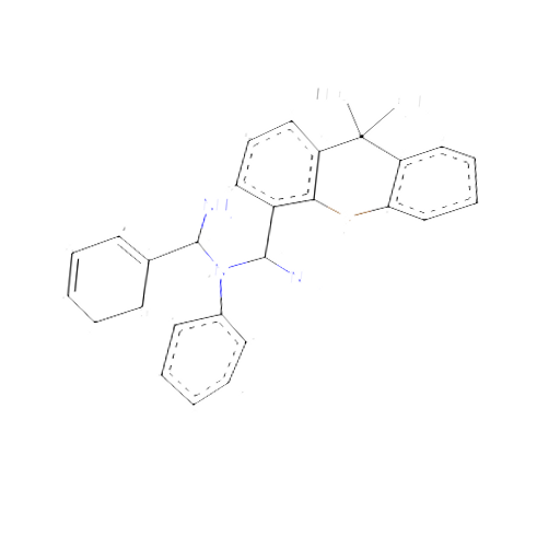 CC1(C)c2ccccc2Sc2c(C(N)N(c3ccccc3)C(N)C3=CC=CCC3)cccc21